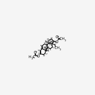 CCC12CC[C@H]3[C@@H](CC=C4C=C(OC(C)=O)CC[C@@H]43)[C@@H]1CCC2OC(C)=O